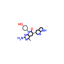 Cc1nc(N)nc2c1cc(-c1cnc3[nH]ccc3c1)c(=O)n2C1CCC(O)CC1